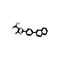 Cc1nc(-c2ccc(-c3ccc4ccccc4c3)cc2)sc1C(=O)O